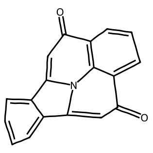 O=c1cc2c3ccccc3c3cc(=O)c4cccc1c4n23